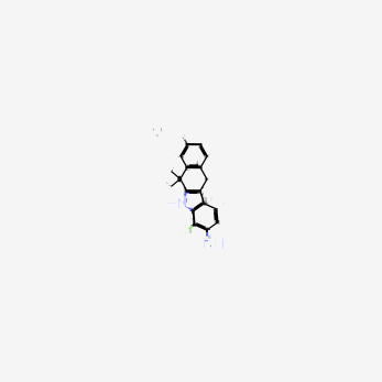 COc1ccc2c(c1)C(C)(C)c1[nH]c3c(F)c(N)ccc3c1C2